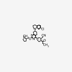 C=CC(=O)N1CCN(c2nc(OCC3CCCN3C)nc3c2CCC(N2CCCc4ccc(Cl)cc42)C3)CC1CC#N